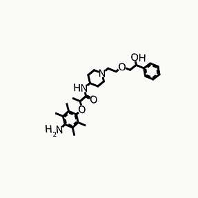 Cc1c(C)c(OC(C)C(=O)NC2CCN(CCOCC(O)c3ccccc3)CC2)c(C)c(C)c1N